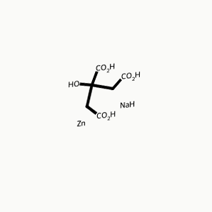 O=C(O)CC(O)(CC(=O)O)C(=O)O.[NaH].[Zn]